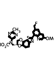 COc1cnc2c(-c3nc4ccc5c(c4s3)OC[C@@H](CN(C(=O)O)c3cnc(C)nc3)O5)cc(CF)cc2c1